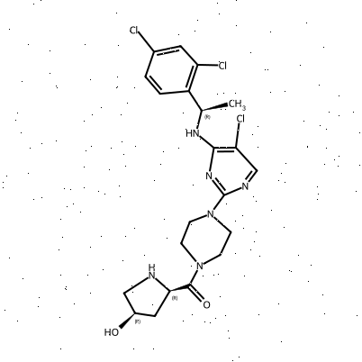 C[C@@H](Nc1nc(N2CCN(C(=O)[C@H]3C[C@@H](O)CN3)CC2)ncc1Cl)c1ccc(Cl)cc1Cl